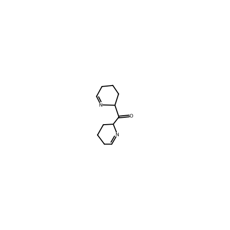 O=C(C1CCCC=N1)C1CCCC=N1